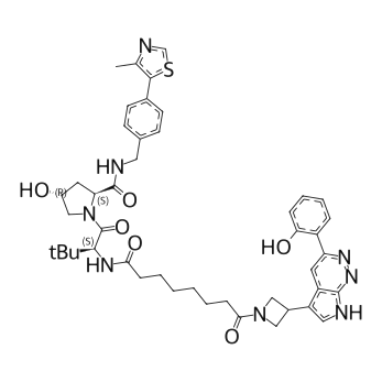 Cc1ncsc1-c1ccc(CNC(=O)[C@@H]2C[C@@H](O)CN2C(=O)[C@@H](NC(=O)CCCCCCC(=O)N2CC(c3c[nH]c4nnc(-c5ccccc5O)cc34)C2)C(C)(C)C)cc1